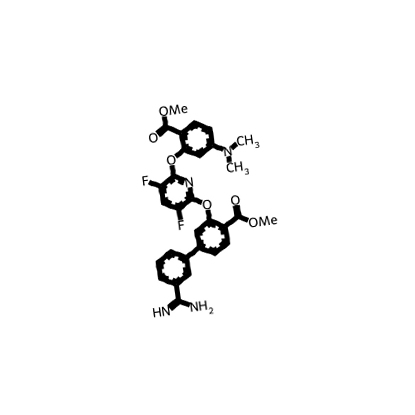 COC(=O)c1ccc(-c2cccc(C(=N)N)c2)cc1Oc1nc(Oc2cc(N(C)C)ccc2C(=O)OC)c(F)cc1F